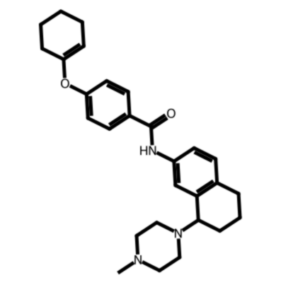 CN1CCN(C2CCCc3ccc(NC(=O)c4ccc(OC5=CCCCC5)cc4)cc32)CC1